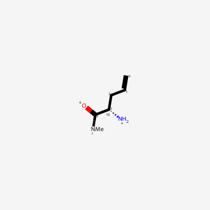 C=CC[C@H](N)C(=O)NC